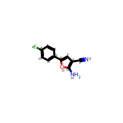 N#Cc1cc(-c2ccc(F)cc2)oc1N